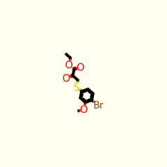 CCOC(=O)C(=O)CSc1ccc(Br)c(OC)c1